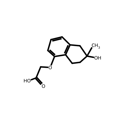 CC1(O)CCc2c(cccc2OCC(=O)O)C1